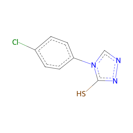 Sc1nncn1-c1ccc(Cl)cc1